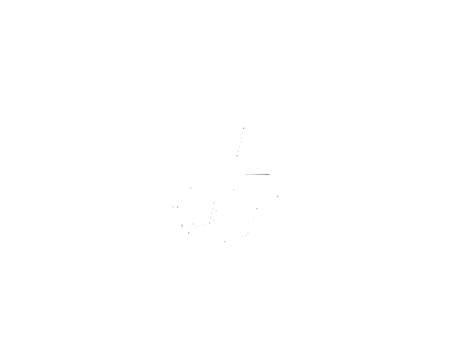 CC/C=C1\CCc2ccc3ncoc3c21